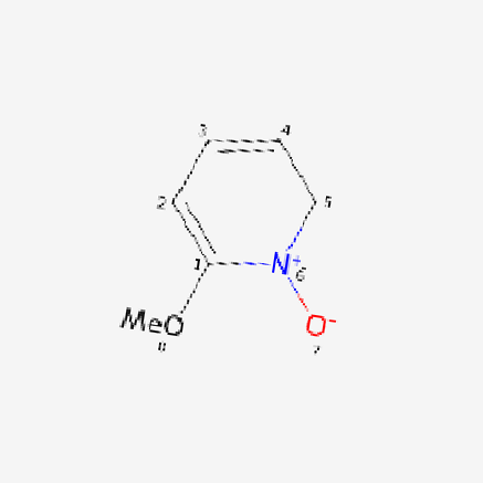 COC1=CC=CC[N+]1[O-]